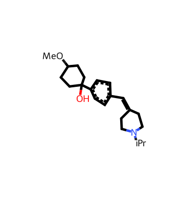 COC1CCC(O)(c2ccc(C=C3CCN(C(C)C)CC3)cc2)CC1